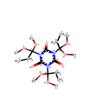 CCOC(OCC)([SiH2]C)n1c(=O)n(C(OCC)(OCC)[SiH2]C)c(=O)n(C(OCC)(OCC)[SiH2]C)c1=O